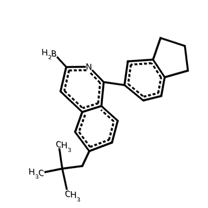 Bc1cc2cc(CC(C)(C)C)ccc2c(-c2ccc3c(c2)CCC3)n1